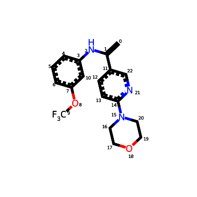 C=C(Nc1cccc(OC(F)(F)F)c1)c1ccc(N2CCOCC2)nc1